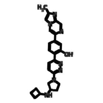 Cc1cn2cc(-c3ccc(-c4ccc(N5CCC(NC6CCC6)C5)nn4)c(O)c3)ncc2n1